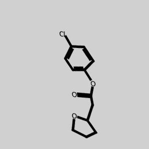 O=C(CC1CCCO1)Oc1ccc(Cl)cc1